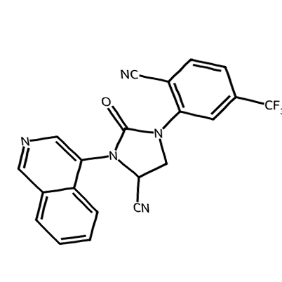 N#Cc1ccc(C(F)(F)F)cc1N1CC(C#N)N(c2cncc3ccccc23)C1=O